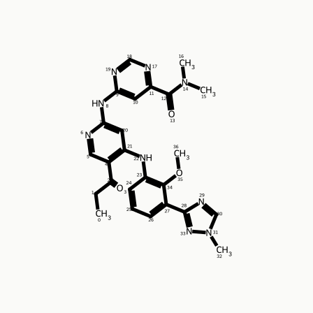 CCC(=O)c1cnc(Nc2cc(C(=O)N(C)C)ncn2)cc1Nc1cccc(-c2ncn(C)n2)c1OC